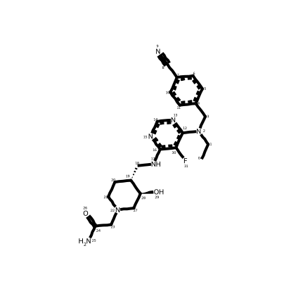 CCN(Cc1ccc(C#N)cc1)c1ncnc(NC[C@H]2CCN(CC(N)=O)C[C@@H]2O)c1F